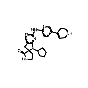 O=C1NCCC12Cc1cnc(Nc3ccc(C4=CCNCC4)cn3)nc1N2C1CCCC1